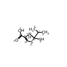 CC(C)C1(S)NC(C(=O)O)=CS1